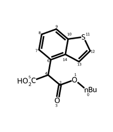 CCCCOC(=O)C(C(=O)O)c1cccc2sccc12